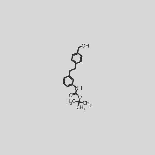 CC(C)(C)OC(=O)Nc1cccc(CCc2ccc(CO)cc2)c1